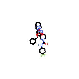 O=C(NC1CCC(F)(F)CC1)N1CCc2nc(N3C4CCC3CN(C(=O)OCc3ccccc3)C4)ccc2C1